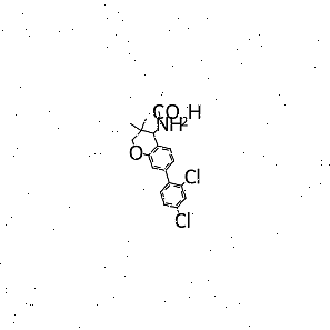 CC1(C)COc2cc(-c3ccc(Cl)cc3Cl)ccc2C1NC(=O)O